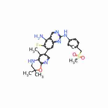 Cc1c(-c2cc3nc(Nc4ccc(CS(C)(=O)=O)cc4)ncc3c(N)c2F)cnc2c1NCC(C)(C)O2